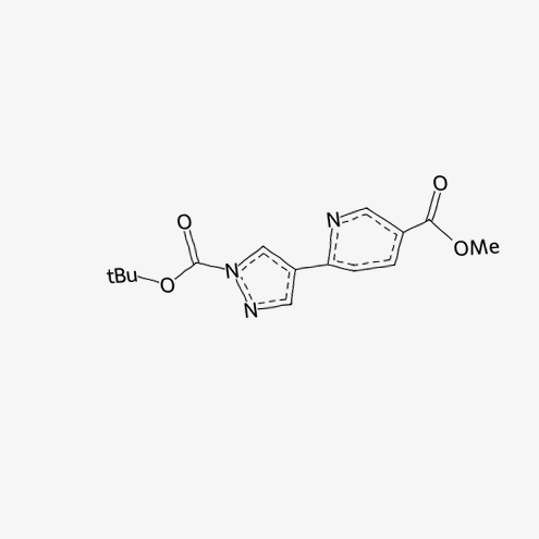 COC(=O)c1ccc(-c2cnn(C(=O)OC(C)(C)C)c2)nc1